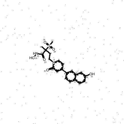 CC(CCn1ccc(-c2ccc3ccc(O)cc3c2)cc1=O)(C(=O)NO)S(C)(=O)=O